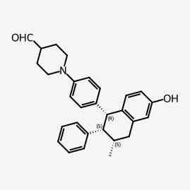 C[C@H]1Cc2cc(O)ccc2[C@@H](c2ccc(N3CCC(C=O)CC3)cc2)[C@H]1c1ccccc1